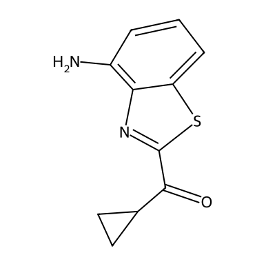 Nc1cccc2sc(C(=O)C3CC3)nc12